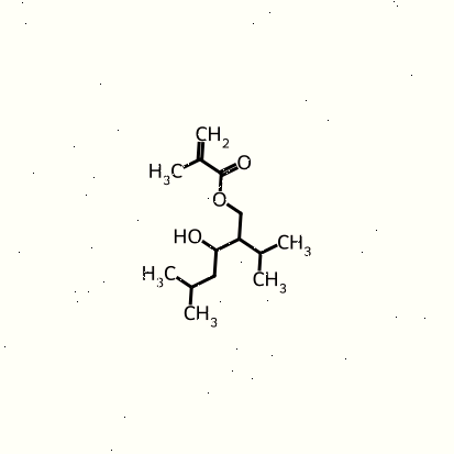 C=C(C)C(=O)OCC(C(C)C)C(O)CC(C)C